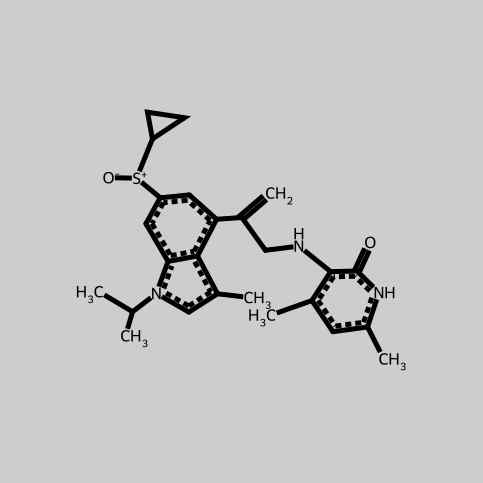 C=C(CNc1c(C)cc(C)[nH]c1=O)c1cc([S+]([O-])C2CC2)cc2c1c(C)cn2C(C)C